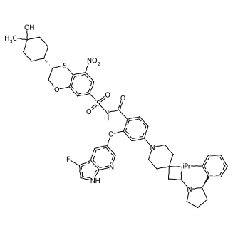 CC(C)c1ccccc1[C@H]1CCCN1C1CC2(CCN(c3ccc(C(=O)NS(=O)(=O)c4cc5c(c([N+](=O)[O-])c4)S[C@@H](C4CCC(C)(O)CC4)CO5)c(Oc4cnc5[nH]cc(F)c5c4)c3)CC2)C1